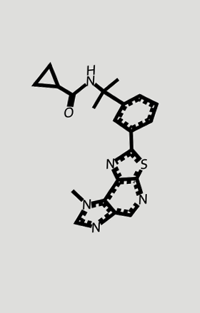 Cn1cnc2cnc3sc(-c4cccc(C(C)(C)NC(=O)C5CC5)c4)nc3c21